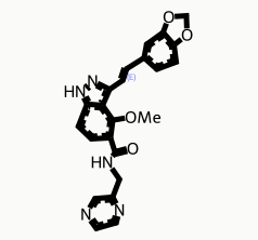 COc1c(C(=O)NCc2cnccn2)ccc2[nH]nc(/C=C/c3ccc4c(c3)OCO4)c12